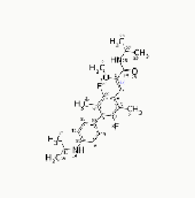 CO/C(=C\c1c(C)c(F)c(-c2ccc(NC(C)C)cc2)c(C)c1F)C(=O)NC(C)C